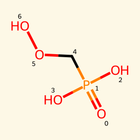 O=P(O)(O)COO